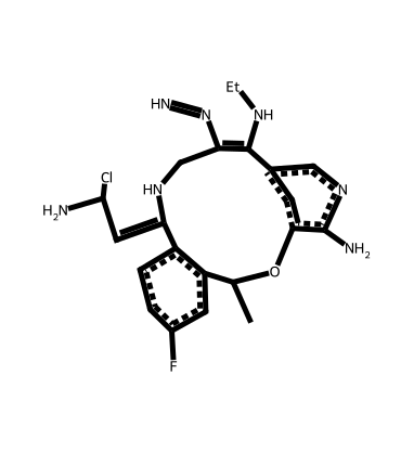 CCN/C1=C(\N=N)CN/C(=C\C(N)Cl)c2ccc(F)cc2C(C)Oc2cc1cnc2N